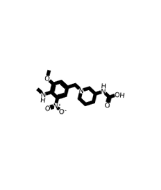 CNc1c(OC)cc(CN2CCCC(NC(=O)O)C2)cc1[N+](=O)[O-]